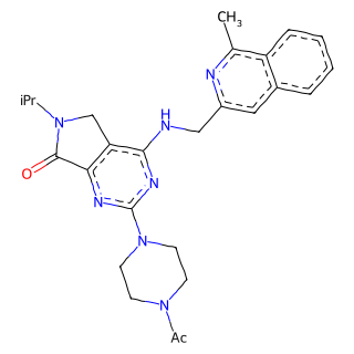 CC(=O)N1CCN(c2nc(NCc3cc4ccccc4c(C)n3)c3c(n2)C(=O)N(C(C)C)C3)CC1